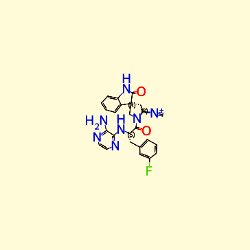 C#[N+][C@@H]1C[C@@]2(CN1C(=O)[C@H](Cc1cccc(F)c1)Nc1nccnc1N)C(=O)Nc1ccccc12